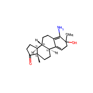 COC1(O)CC=C2C(=C1N)CC[C@@H]1[C@@H]2CC[C@]2(C)C(=O)CC[C@@H]12